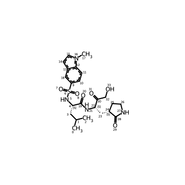 CC(C)C[C@H](NS(=O)(=O)c1ccc2c(ccn2C)c1)C(=O)N[C@@H](C[C@@H]1CCNC1=O)C(=O)CO